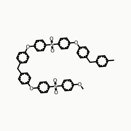 COc1ccc(S(=O)(=O)c2ccc(Oc3ccc(Cc4ccc(Oc5ccc(S(=O)(=O)c6ccc(Oc7ccc(Cc8ccc(C)cc8)cc7)cc6)cc5)cc4)cc3)cc2)cc1